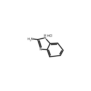 Cl.Nc1nc2ccccc2[nH]1